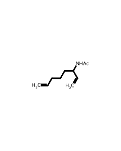 C=CCCCC(C=C)NC(C)=O